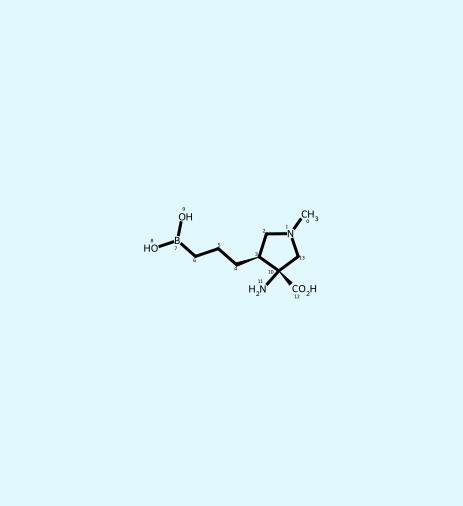 CN1C[C@H](CCCB(O)O)[C@](N)(C(=O)O)C1